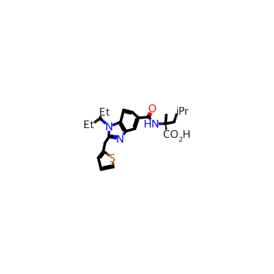 CCC(CC)n1c(Cc2cccs2)nc2cc(C(=O)N[C@](C)(CC(C)C)C(=O)O)ccc21